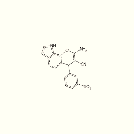 N#CC1=C(N)Oc2c(ccc3cc[nH]c23)C1c1cccc([N+](=O)[O-])c1